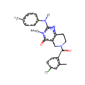 CCN(c1ccc(C(F)(F)F)cc1)c1nc2c(c(=O)n1OC)CN(C(=O)c1ccc(Cl)cc1C)CC2